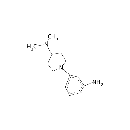 CN(C)C1CCN(c2cc[c]c(N)c2)CC1